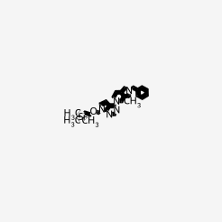 CC12CN(Cc3ccccc3)CC1CCN(c1ncnc3c1ccn3COCC[Si](C)(C)C)C2